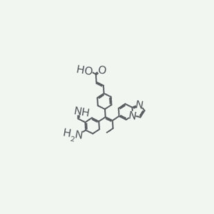 CC/C(=C(\C1=CC(C=N)=C(N)CC1)C1C=CC(/C=C/C(=O)O)=CC1)c1ccc2nccn2c1